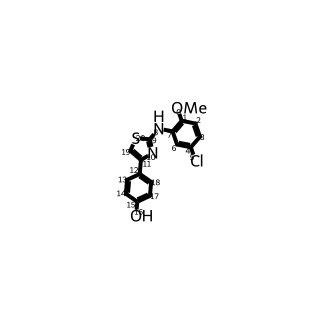 COc1ccc(Cl)cc1Nc1nc(-c2ccc(O)cc2)cs1